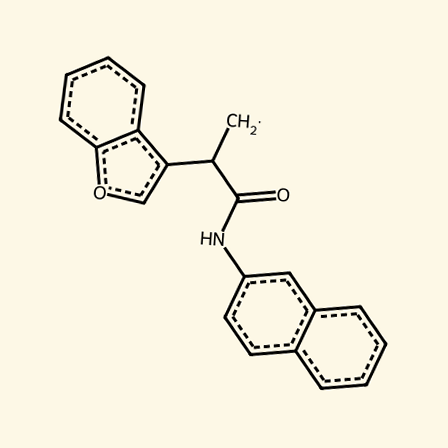 [CH2]C(C(=O)Nc1ccc2ccccc2c1)c1coc2ccccc12